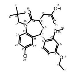 CCOc1ccc([C@H]2S[C@H](CC(=O)O)C(=O)N(CC(C)(C)C)c3ccc(Cl)cc32)c(OC)c1